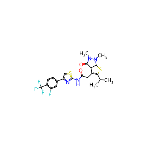 CC(C)C1=C(CC(=O)Nc2nc(-c3ccc(C(F)(F)F)c(F)c3)cs2)C2C(=O)N(C)N(C)C2S1